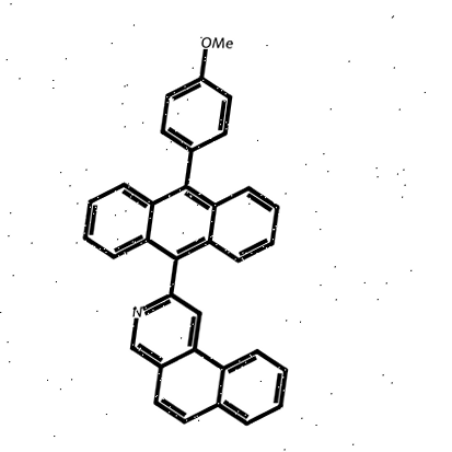 COc1ccc(-c2c3ccccc3c(-c3cc4c(ccc5ccccc54)cn3)c3ccccc23)cc1